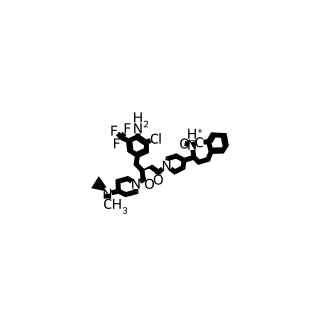 CN(C1CC1)C1CCN(C(=O)[C@H](CC(=O)N2CCC(C3CCc4ccccc4C[NH+]3[O-])CC2)Cc2cc(Cl)c(N)c(C(F)(F)F)c2)CC1